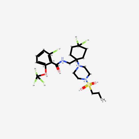 CCCS(=O)(=O)N1CCN(C2(CNC(=O)c3c(F)cccc3OC(F)(F)F)CCC(F)(F)CC2)CC1